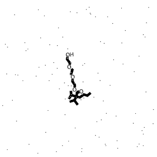 CCCCC(C(=O)OCCOCCOCCO)(C(C)C)C(C)C